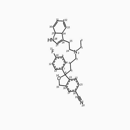 CCN(CCCC1(c2ccc(F)cc2)OCc2cc(C#N)ccc21)CCC1=CNC2C=CI=CC12